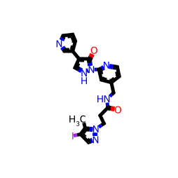 Cc1c(I)cnn1CCC(=O)NCc1ccnc(-n2[nH]cc(-c3cccnc3)c2=O)c1